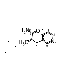 C=C(Cc1cccnc1)C(N)=O